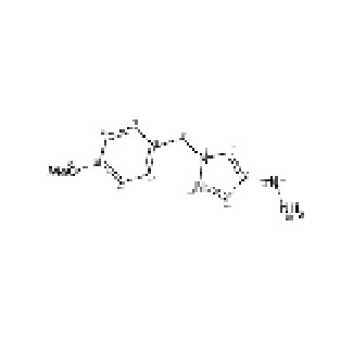 COc1ccc(Cn2cc(NN)cn2)cc1